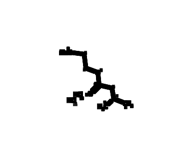 CNCCOC(=O)CN(C)C.Cl.Cl